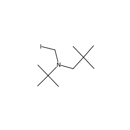 CC(C)(C)CN(CI)C(C)(C)C